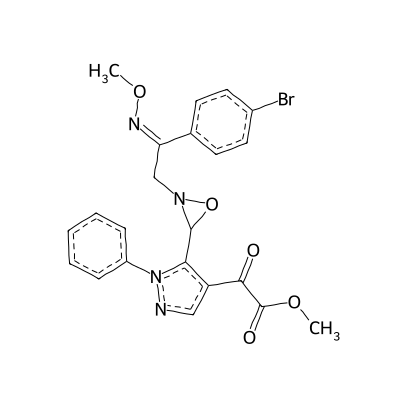 CO/N=C(/CN1OC1c1c(C(=O)C(=O)OC)cnn1-c1ccccc1)c1ccc(Br)cc1